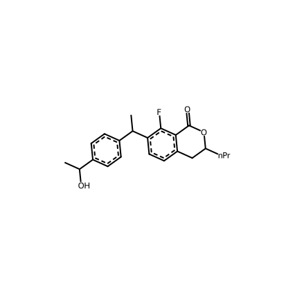 CCCC1Cc2ccc(C(C)c3ccc(C(C)O)cc3)c(F)c2C(=O)O1